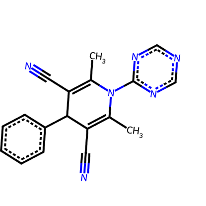 CC1=C(C#N)C(c2ccccc2)C(C#N)=C(C)N1c1ncncn1